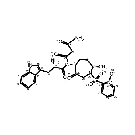 C[C@@H]1CC[C@H](N(C(=O)[CH]C(N)=O)C(=O)[C@@H](N)Cc2c[nH]c3ccccc23)C(=O)CN1S(=O)(=O)c1cccc[n+]1[O-]